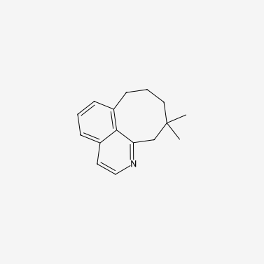 CC1(C)CCCc2cccc3ccnc(c23)C1